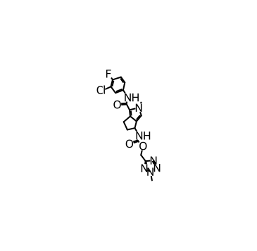 Cn1nnc(COC(=O)NC2CCc3c2cn(C)c3C(=O)Nc2ccc(F)c(Cl)c2)n1